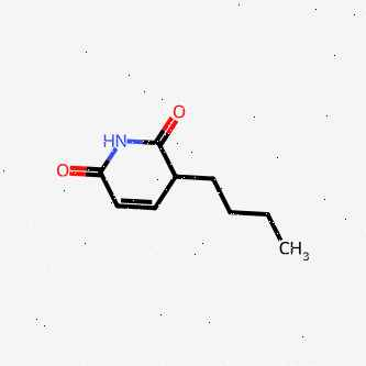 CCCCC1C=CC(=O)NC1=O